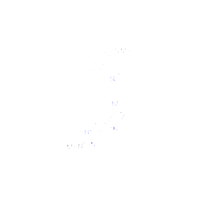 CNC(=O)c1ccnc2c(C(C)CCNc3cc(-c4cnc(NC)nc4)ncn3)cccc12